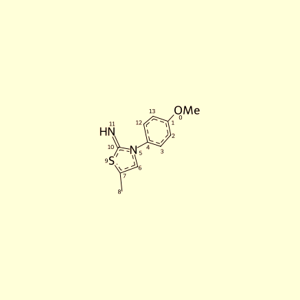 COc1ccc(-n2cc(C)sc2=N)cc1